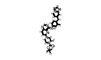 Cc1cc(Nc2ncnc3ccc(N4CCN(C(=O)OC(C)(C)C)[C@H](C)C4)nc23)ccc1Cc1ccn2ncnc2c1